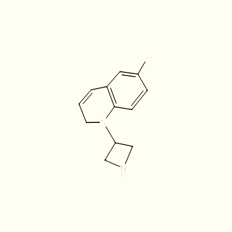 CCc1ccc2c(c1)C=CCN2C1CNC1